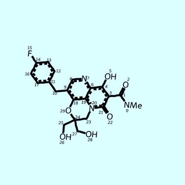 CNC(=O)c1c(O)c2ncc(Cc3ccc(F)cc3)c3c2n(c1=O)CC(CO)(CO)O3